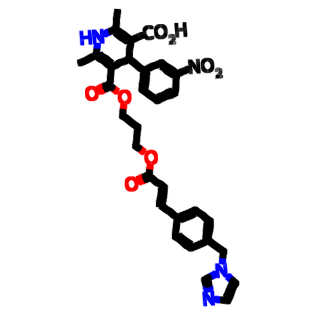 CC1=C(C(=O)O)C(c2cccc([N+](=O)[O-])c2)C(C(=O)OCCCOC(=O)C=Cc2ccc(Cn3ccnc3)cc2)=C(C)N1